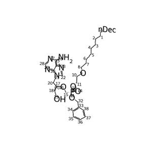 CCCCCCCCCCCCCCCCCCOCCO[P@](=O)(CO[C@@H](CO)Cn1cnc2c(N)ncnc21)OCc1ccccc1